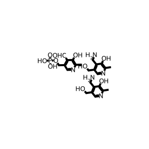 Cc1ncc(CO)c(CN)c1O.Cc1ncc(CO)c(CN)c1O.Cc1ncc(COP(=O)(O)O)c(C=O)c1O